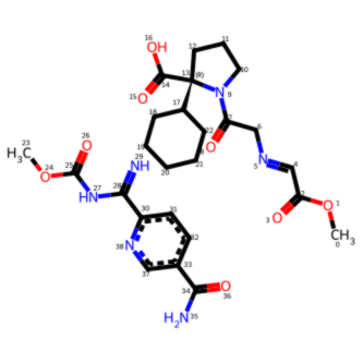 COC(=O)C=NCC(=O)N1CCC[C@]1(C(=O)O)C1CCCCC1.COC(=O)NC(=N)c1ccc(C(N)=O)cn1